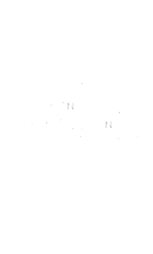 Cc1ccc(S(=O)(=O)N2CCCC2C(=O)N2CCCC2)cc1C